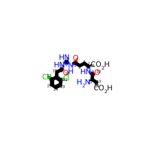 N=C(NC(=O)CC[C@H](NC(=O)[C@H](N)CC(=O)O)C(=O)O)NC(=O)Cc1c(Cl)cccc1Cl